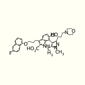 Cc1c(-c2c(Cl)ccc3c(CCCOc4cccc5cc(F)ccc45)c(C(=O)O)[nH]c23)c(C(O)CCN2CCOCC2)nn1C